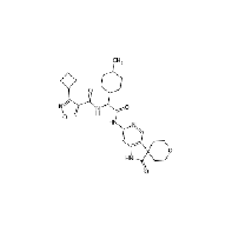 CC1CCC(C(NC(=O)c2conc2C2CCC2)C(=O)Nc2cc3c(cn2)C2(CCOCC2)C(=O)N3)CC1